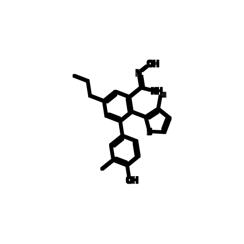 CCCc1cc(/C(N)=N/O)c(-c2sccc2C)c(-c2ccc(O)c(C)c2)c1